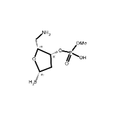 B[C@H]1C[C@@H](OP(=O)(O)OC)[C@@H](CN)O1